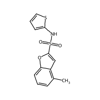 Cc1cccc2oc(S(=O)(=O)Nc3cccs3)cc12